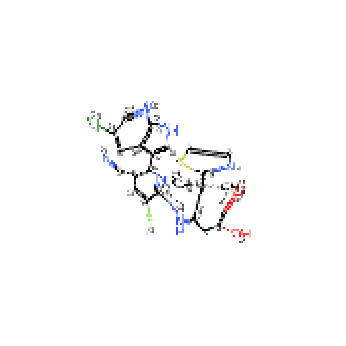 CC(C)(c1nccs1)C(CC(=O)O)Nc1nc(-c2c[nH]c3ncc(Cl)cc23)c(C#N)cc1F